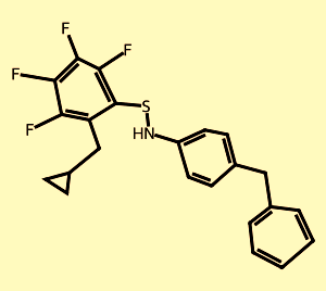 Fc1c(F)c(F)c(SNc2ccc(Cc3ccccc3)cc2)c(CC2CC2)c1F